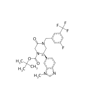 Cn1cnc2ccc([C@@H]3CN(Cc4cc(F)cc(C(F)(F)F)c4)C(=O)CN3C(=O)OC(C)(C)C)cc21